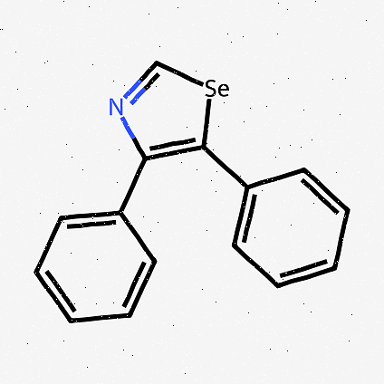 c1ccc(-c2nc[se]c2-c2ccccc2)cc1